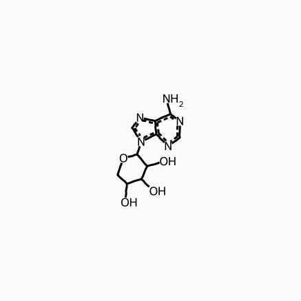 Nc1ncnc2c1ncn2C1OCC(O)C(O)C1O